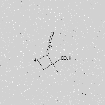 CC1(C(=O)O)CNC1=C=O